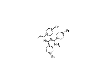 C\C=C(/N=C(\N=C(/N)N1CCN(C(C)C)CC1)N1CCN(C(C)CC)CC1)N1CCN(C(C)C)CC1